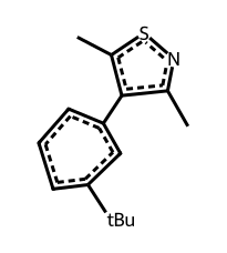 Cc1nsc(C)c1-c1cccc(C(C)(C)C)c1